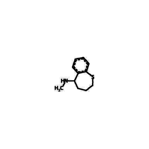 CNC1CCCSc2ccccc21